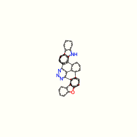 c1ccc(-c2cccc(-c3cccc4c3[nH]c3ccccc34)c2-c2c(-c3ccccc3)nnnc2-c2cccc3oc4ccccc4c23)cc1